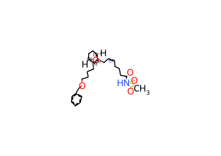 CS(=O)(=O)NC(=O)CCC/C=C\C[C@H]1[C@@H](CCCCOCc2ccccc2)[C@H]2CC[C@@H]1O2